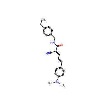 CCc1ccc(CNC(=O)/C(C#N)=C/C=C/c2ccc(N(C)C)cc2)cc1